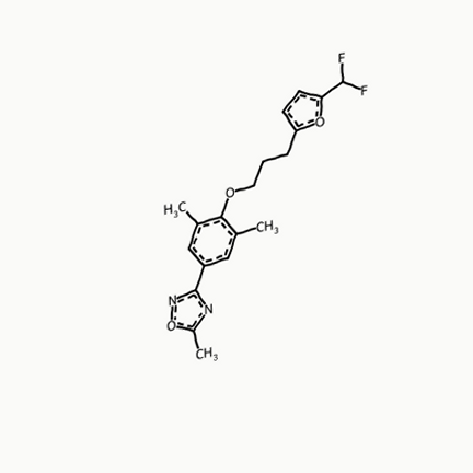 Cc1nc(-c2cc(C)c(OCCCc3ccc(C(F)F)o3)c(C)c2)no1